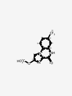 O=C(O)Oc1cn2c(n1)c(=O)[nH]c1cc(C(F)(F)F)ccc12